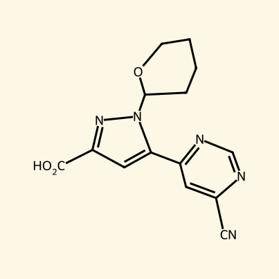 N#Cc1cc(-c2cc(C(=O)O)nn2C2CCCCO2)ncn1